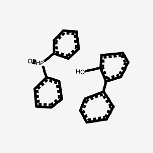 O=[PH](c1ccccc1)c1ccccc1.Oc1ccccc1-c1ccccc1